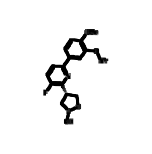 CCCOc1cc(-c2ccc(F)c([C@@H]3COB(O)C3)n2)ccc1OC